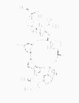 C#CC(=O)N1CCC(O)(C(=O)N(C)[C@H](C(=O)N[C@H]2Cc3cc(O)cc(c3)-c3ccc4c(c3)c(c(-c3cnccc3[C@H](C)OC)n4CC)CC(C)(C)COC(=O)[C@@H]3CCCN(N3)C2=O)C(C)C)C1